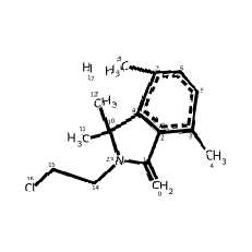 C=C1c2c(C)ccc(C)c2C(C)(C)N1CCCl.I